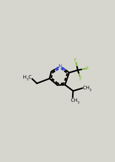 CCc1cnc(C(F)(F)F)c(C(C)C)c1